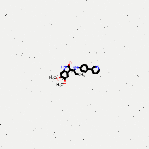 CC/C(Nc1ccc(-c2cccnc2)cc1)=C1/C(=O)Nc2cc(OC)c(OC)cc21